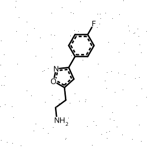 NCCc1cc(-c2ccc(F)cc2)no1